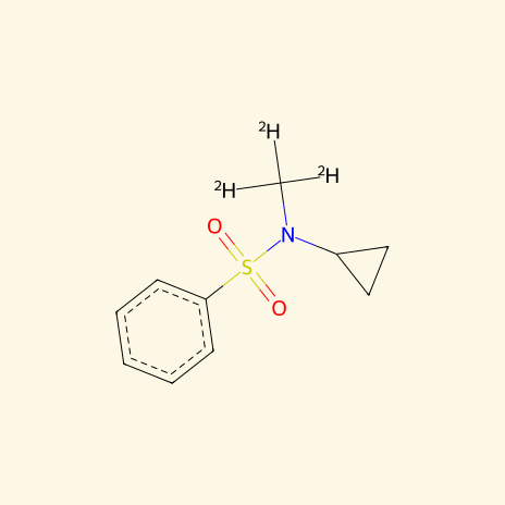 [2H]C([2H])([2H])N(C1CC1)S(=O)(=O)c1ccccc1